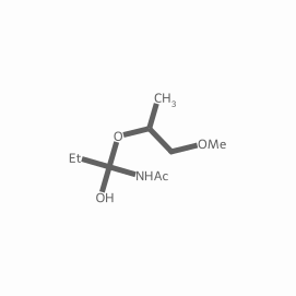 CCC(O)(NC(C)=O)OC(C)COC